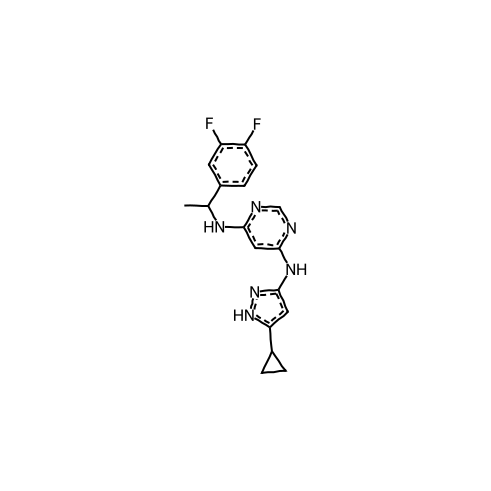 CC(Nc1cc(Nc2cc(C3CC3)[nH]n2)ncn1)c1ccc(F)c(F)c1